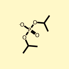 CC(C)OP([O])(=O)OC(C)C